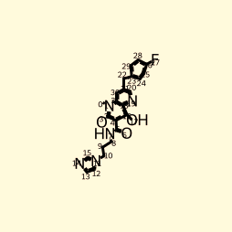 Cn1c(=O)c(C(=O)NCCCn2ccnc2)c(O)c2ncc(Cc3ccc(F)cc3)cc21